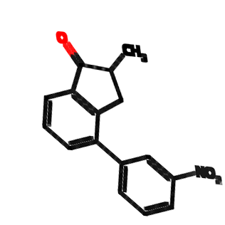 CC1Cc2c(cccc2-c2cccc([N+](=O)[O-])c2)C1=O